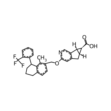 Cc1c(COc2cc3c(cn2)[C@H]2[C@@H](C3)[C@@H]2C(=O)O)ccc2c1C(c1ccccc1C(F)(F)F)CCC2